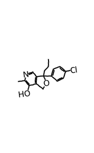 CCCC1(c2ccc(Cl)cc2)OCc2c1cnc(C)c2O